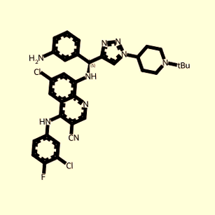 CC(C)(C)N1CCC(n2cc([C@@H](Nc3cc(Cl)cc4c(Nc5ccc(F)c(Cl)c5)c(C#N)cnc34)c3cccc(N)c3)nn2)CC1